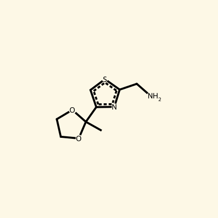 CC1(c2csc(CN)n2)OCCO1